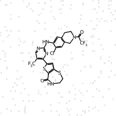 O=C1NCCSc2cc(-c3nc(Nc4cc5c(cc4Cl)CN(C(=O)C(F)(F)F)CC5)ncc3C(F)(F)F)sc21